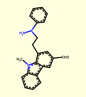 Cn1c2ccccc2c2cc(C=O)cc(CCN(N)c3ccccc3)c21